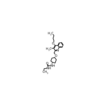 CCCCOc1c(C)c(CO[C@H]2CC[C@H](NC(=O)NCC)CC2)nc2ccccc12